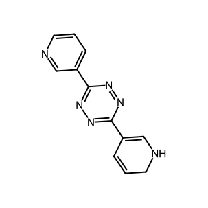 C1=CC(c2nnc(-c3cccnc3)nn2)=CNC1